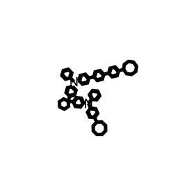 c1ccc(N(c2ccc(-c3ccc(-c4ccc(C5CCCCCCC5)cc4)cc3)cc2)c2ccc(C3(c4ccc(N(c5ccccc5)c5ccc(C6CCCCCCC6)cc5)cc4)CCCCC3)cc2)cc1